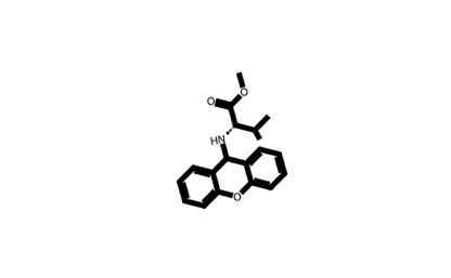 COC(=O)[C@@H](NC1c2ccccc2Oc2ccccc21)C(C)C